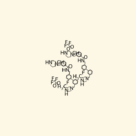 C[C@H]1CN(Cc2cccc(-c3cc(CNC(=O)c4cccc(C[N+]5(C)CCCNCC5)c4)ccc3F)c2)CCN1.C[C@H]1CN(Cc2cccc(-c3cc(CNC(=O)c4cccc(C[N+]5(C)CCCNCC5)c4)ccc3F)c2)CCN1.O=C([O-])C(F)(F)F.O=C([O-])C(F)(F)F